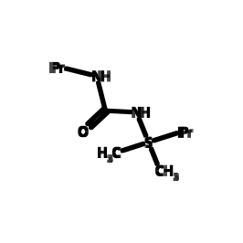 CC(C)NC(=O)NS(C)(C)C(C)C